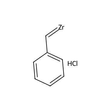 Cl.[Zr]=[CH]c1ccccc1